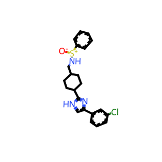 [O-][S+](NCC1CCC(c2nc(-c3cccc(Cl)c3)c[nH]2)CC1)c1ccccc1